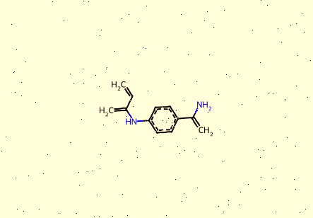 C=CC(=C)Nc1ccc(C(=C)N)cc1